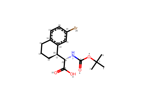 CC(C)(C)OC(=O)N[C@H](C(=O)O)[C@H]1CCCc2ccc(Br)cc21